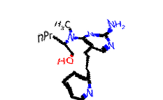 CCCC(CO)N(C)c1nc(N)ncc1CCc1ccccn1